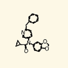 O=C(C1CC1)N(c1ccc(Cc2ccccc2)nc1)c1ccc2c(c1)OCO2